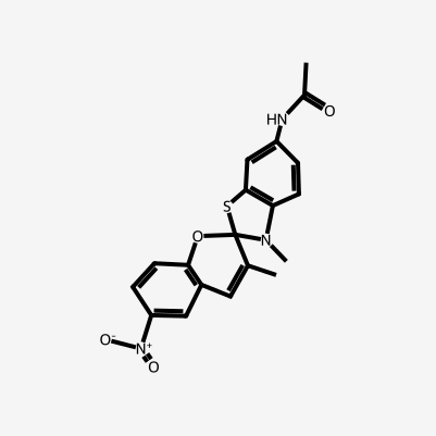 CC(=O)Nc1ccc2c(c1)SC1(Oc3ccc([N+](=O)[O-])cc3C=C1C)N2C